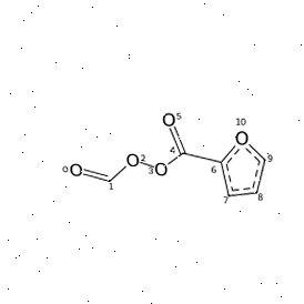 O=COOC(=O)c1ccco1